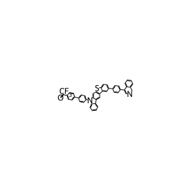 O=C(c1ccc(-c2ccc(-n3c4ccccc4c4cc5c(cc43)sc3ccc(-c4ccc(-c6cncc7ccccc67)cc4)cc35)cc2)cc1)C(F)(F)F